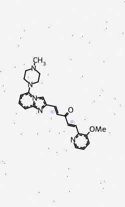 COc1cccnc1/C=C/C(=O)/C=C/c1cn2c(N3CCN(C)CC3)cccc2n1